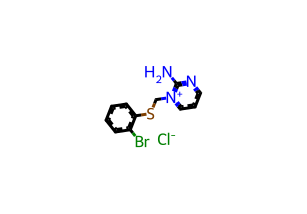 Nc1nccc[n+]1CSc1ccccc1Br.[Cl-]